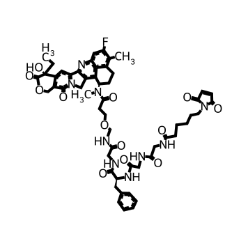 CC[C@@]1(O)C(=O)OCc2c1cc1n(c2=O)Cc2c-1nc1cc(F)c(C)c3c1c2[C@@H](N(C)C(=O)CCOCNC(=O)CNC(=O)[C@H](Cc1ccccc1)NC(=O)CNC(=O)CNC(=O)CCCCCN1C(=O)C=CC1=O)CC3